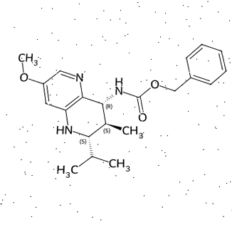 COc1cnc2c(c1)N[C@@H](C(C)C)[C@H](C)[C@H]2NC(=O)OCc1ccccc1